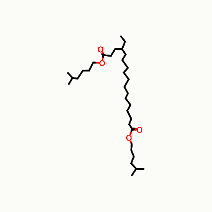 CCC(CCCCCCCCCCCCC(=O)OCCCCC(C)C)CCC(=O)OCCCCC(C)C